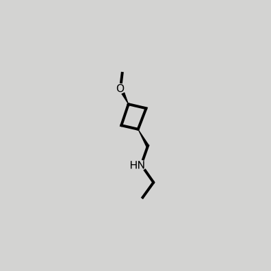 CCNC[C@H]1C[C@@H](OC)C1